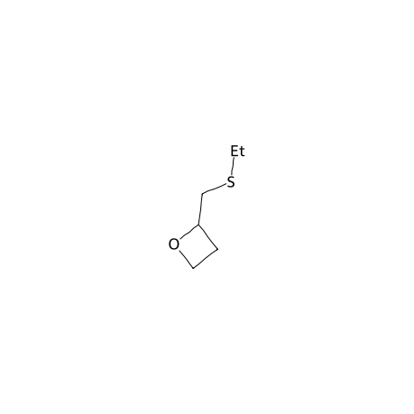 [CH2]CSCC1CCO1